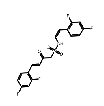 O=C(C=Cc1ccc(F)cc1F)CS(=O)(=O)N/C=C\c1ccc(F)cc1F